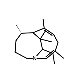 CCC1N2/C=C(/C)C/C=C(/C)C([C@@H](C)CCC2)C1(C)C